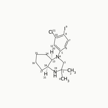 CC1(C)CN(c2ccc(I)c(Cl)c2)[C@@H]2CCCC[C@@H]2N1